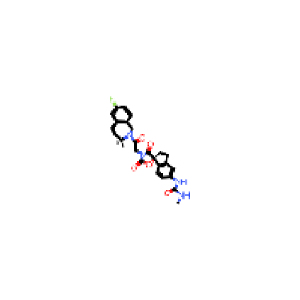 CNC(=O)Nc1ccc2c(c1)CC[C@]21OC(=O)N(CC(=O)N2Cc3ccc(F)cc3CC[C@@H]2C)C1=O